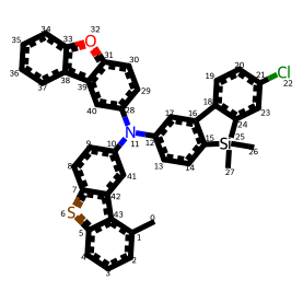 Cc1cccc2sc3ccc(N(c4ccc5c(c4)-c4ccc(Cl)cc4[Si]5(C)C)c4ccc5oc6ccccc6c5c4)cc3c12